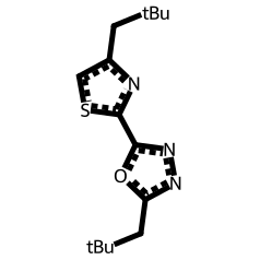 CC(C)(C)Cc1csc(-c2nnc(CC(C)(C)C)o2)n1